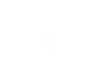 CC(C)(CO)COc1ccc(-n2ncc(NC[C@H]3CCCOC3)c(Cl)c2=O)cc1